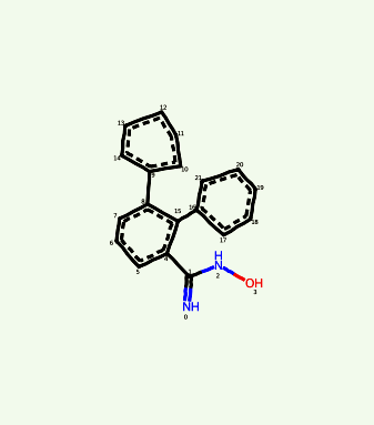 N=C(NO)c1cccc(-c2ccccc2)c1-c1ccccc1